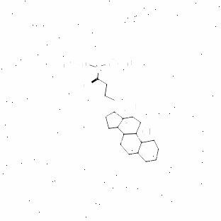 CCCCCN(CCCCC)C(=O)CCC[C@H]1CCC2C3CCC4CCCC[C@]4(C)C3CC[C@@]21C